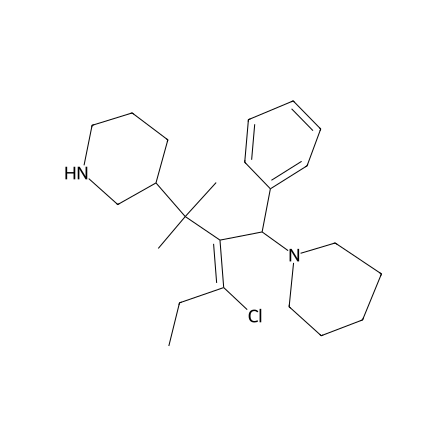 CC/C(Cl)=C(/C(c1ccccc1)N1CCCCC1)C(C)(C)C1CCCNC1